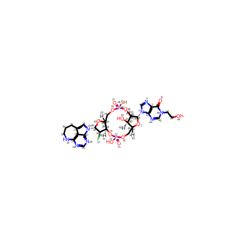 O=c1c2ncn([C@@H]3O[C@@H]4COP(=O)(O)O[C@H]5[C@@H](F)[C@H](n6cc7c8c(ncnc86)NCCC7)O[C@@H]5COP(=O)(S)O[C@@H]3[C@@H]4O)c2ncn1CCO